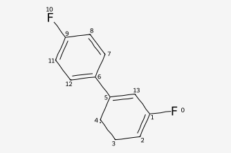 FC1=CC[CH]C(c2ccc(F)cc2)=C1